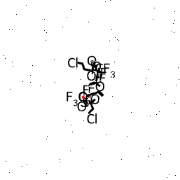 C=C(OC(=C)C(F)(OC(CCCl)=S(=O)=O)C(F)(F)C(F)(F)F)C(F)(OC(CCCl)=S(=O)=O)C(F)(F)C(F)(F)F